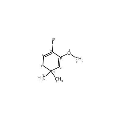 COC1=CC(C)(C)CC=C1F